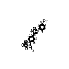 CC(C)c1cccc(-n2cc(-c3ccc(OS(N)(=O)=O)cc3)nn2)c1